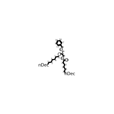 CCCCCCCCCCCCCCCCO[C@@H](COCc1ccccc1)COC(=O)CCCCCCCCCCCCCCC